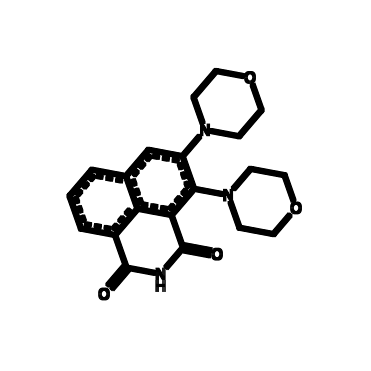 O=C1NC(=O)c2c(N3CCOCC3)c(N3CCOCC3)cc3cccc1c23